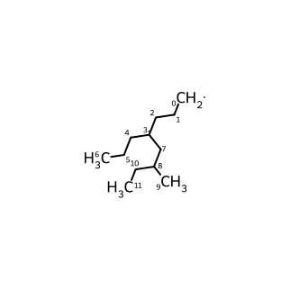 [CH2]CC[C](CCC)CC(C)CC